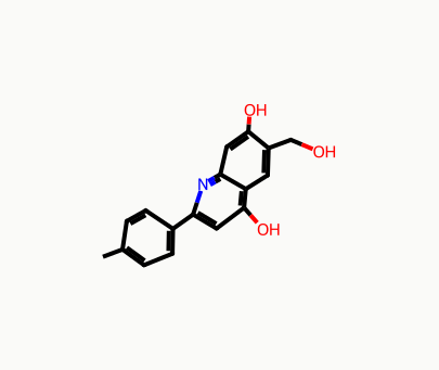 Cc1ccc(-c2cc(O)c3cc(CO)c(O)cc3n2)cc1